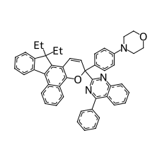 CCC1(CC)c2ccccc2-c2c1c1c(c3ccccc23)OC(c2ccc(N3CCOCC3)cc2)(c2nc(-c3ccccc3)c3ccccc3n2)C=C1